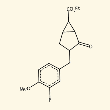 CCOC(=O)C1C2CC(Cc3ccc(OC)c(F)c3)C(=O)C21